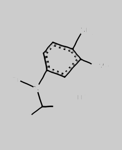 CCN(c1ccc(N)c(OC)c1)C(C)O.Cl